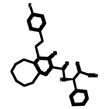 COC(=O)[C@H](NC(=O)c1cc2c(n(CCc3ccc(F)cc3)c1=O)CCCCCC2)c1ccccc1